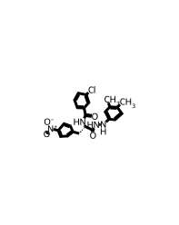 Cc1ccc(NNC(=O)[C@H](Cc2ccc([N+](=O)[O-])cc2)NC(=O)c2cccc(Cl)c2)cc1C